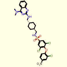 CN(C)c1nc(NC[C@H]2CC[C@H](CNS(=O)(=O)c3cc(Cl)c(Oc4ccc([N+](=O)[O-])cc4Cl)c(Cl)c3)CC2)nc2ccccc12